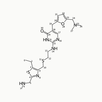 CCc1sc(CNC)nc1CSCCNc1ncc(Cc2ccc(CN(C)C)o2)c(=O)[nH]1